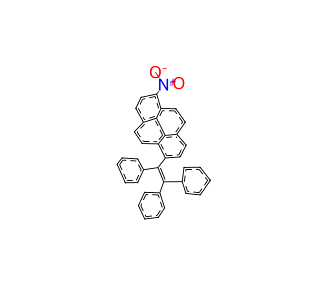 O=[N+]([O-])c1ccc2ccc3c(C(=C(c4ccccc4)c4ccccc4)c4ccccc4)ccc4ccc1c2c43